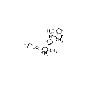 C=C(Nc1ccc(C(/C=C(\C)COOCC)=C(C)C)cc1)c1c(C)cccc1F